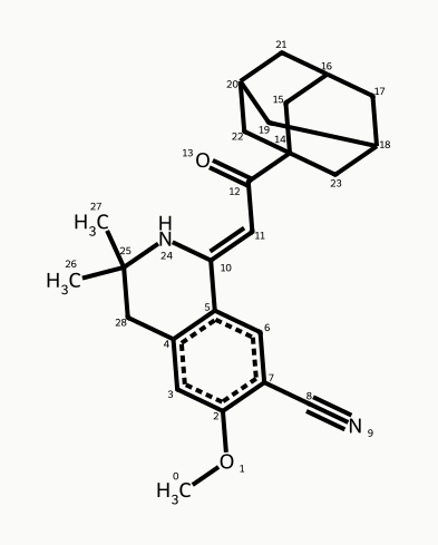 COc1cc2c(cc1C#N)/C(=C/C(=O)C13CC4CC(CC(C4)C1)C3)NC(C)(C)C2